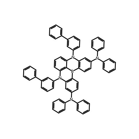 c1ccc(-c2cccc(N3c4cc(N(c5ccccc5)c5ccccc5)ccc4B4c5ccc(N(c6ccccc6)c6ccccc6)cc5N(c5cccc(-c6ccccc6)c5)c5cccc3c54)c2)cc1